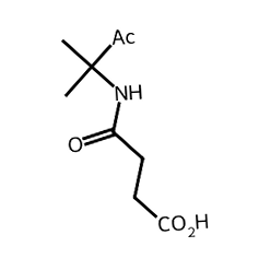 CC(=O)C(C)(C)NC(=O)CCC(=O)O